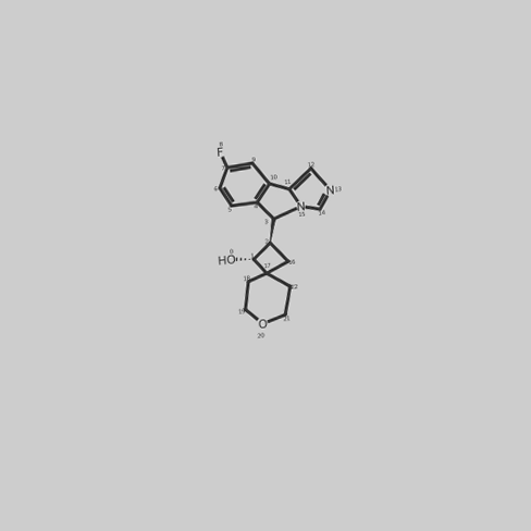 O[C@@H]1[C@@H](C2c3ccc(F)cc3-c3cncn32)CC12CCOCC2